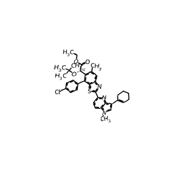 CCOC(=O)[C@@H](OC(C)(C)C)c1c(C)cc2nc(-c3ccc4c(n3)c(C3=CCCCC3)cn4C)sc2c1-c1ccc(Cl)cc1